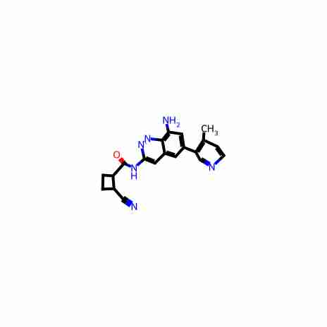 Cc1ccncc1-c1cc(N)c2nnc(NC(=O)C3CCC3C#N)cc2c1